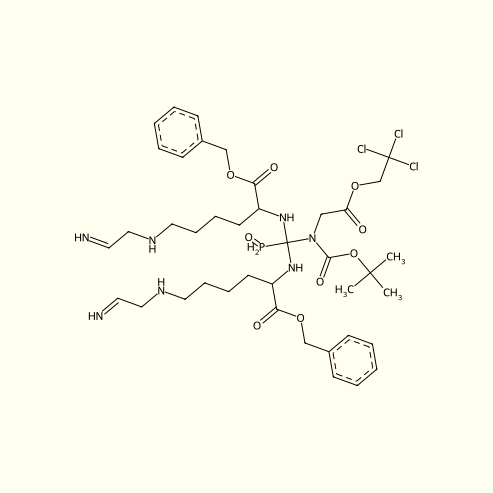 CC(C)(C)OC(=O)N(CC(=O)OCC(Cl)(Cl)Cl)C(NC(CCCCNCC=N)C(=O)OCc1ccccc1)(NC(CCCCNCC=N)C(=O)OCc1ccccc1)[PH2]=O